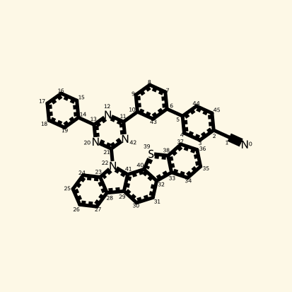 N#Cc1ccc(-c2cccc(-c3nc(-c4ccccc4)nc(-n4c5ccccc5c5ccc6c7ccccc7sc6c54)n3)c2)cc1